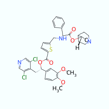 COc1ccc([C@H](Cc2c(Cl)cncc2Cl)OC(=O)c2ccc(CNC(C(=O)O[C@H]3CN4CCC3CC4)c3ccccc3)s2)cc1OC